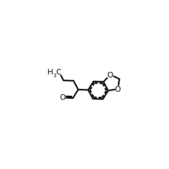 CCCC(C=O)c1ccc2c(c1)OCO2